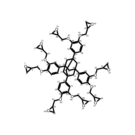 c1cc(OCC2CO2)c(OCC2CO2)cc1C12CC3(c4ccc(OCC5CO5)c(OCC5CO5)c4)CC(c4ccc(OCC5CO5)c(OCC5CO5)c4)(C1)CC(c1ccc(OCC4CO4)c(OCC4CO4)c1)(C2)C3